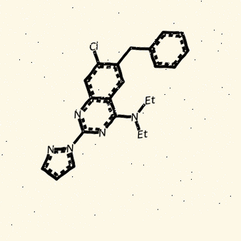 CCN(CC)c1nc(-n2cccn2)nc2cc(Cl)c(Cc3ccccc3)cc12